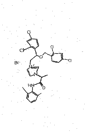 Cc1cccc(C)c1NC(=O)C(C)n1cc[n+](CC(OCc2ccc(Cl)cc2Cl)c2ccc(Cl)cc2Cl)c1.[Br-]